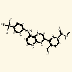 CNC(=O)c1ccc(CF)c(-c2cnc3c(Nc4ccc(C(F)(F)F)cn4)ccnc3n2)n1